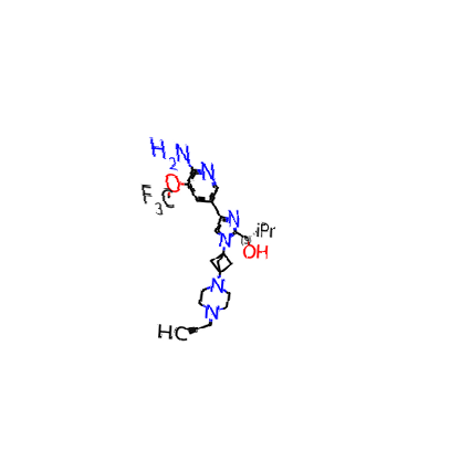 C#CCN1CCN(C23CC(n4cc(-c5cnc(N)c(OC(F)(F)F)c5)nc4[C@@H](O)C(C)C)(C2)C3)CC1